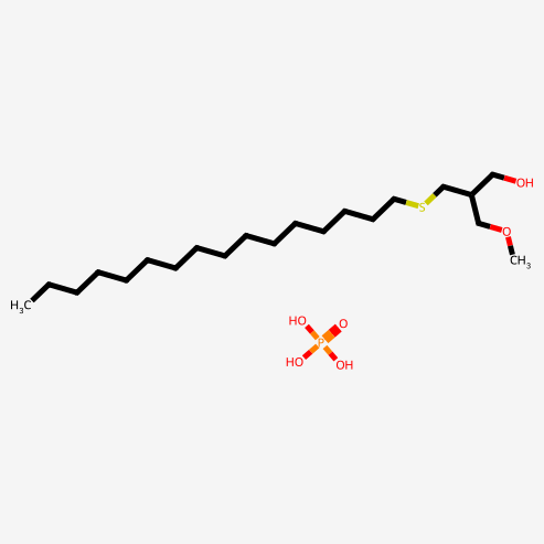 CCCCCCCCCCCCCCCCSCC(CO)COC.O=P(O)(O)O